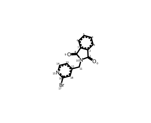 O=C1c2ccccc2C(=O)N1Cc1ccnc(Br)c1